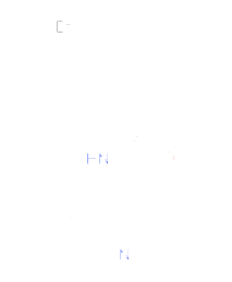 CCc1cccc(C(=O)NC2C=NCS2)c1